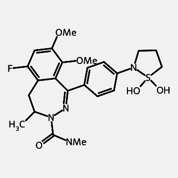 CNC(=O)N1N=C(c2ccc(N3CCCS3(O)O)cc2)c2c(c(F)cc(OC)c2OC)CC1C